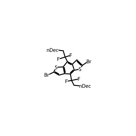 CCCCCCCCCCCC(F)(F)c1c2cc(Br)sc2c(C(F)(F)CCCCCCCCCCC)c2cc(Br)sc12